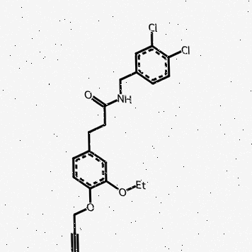 C#CCOc1ccc(CCC(=O)NCc2ccc(Cl)c(Cl)c2)cc1OCC